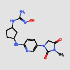 CN1C(=O)CN(c2ccc(NC3CCC(NC(N)=NO)C3)nc2)C1=O